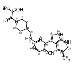 CC(C)[C@@H](O)C(=O)N1CCC(CNc2ncc(C#N)c(-c3c[nH]c4c3C=C(C(F)(F)F)CN4)n2)CC1